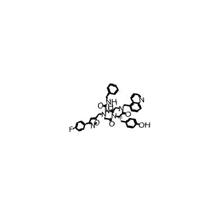 O=C1[C@H](Cc2ccc(O)cc2)N2C(=O)CN(Cc3cc(-c4ccc(F)cc4)no3)N(C(=O)NCc3ccccc3)[C@H]2CN1Cc1cccc2ncccc12